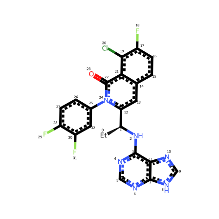 CC[C@H](Nc1ncnc2[nH]cnc12)c1cc2ccc(F)c(Cl)c2c(=O)n1-c1ccc(F)c(F)c1